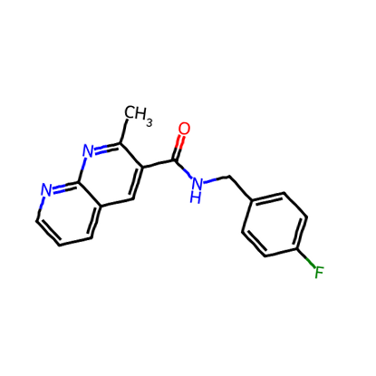 Cc1nc2ncccc2cc1C(=O)NCc1ccc(F)cc1